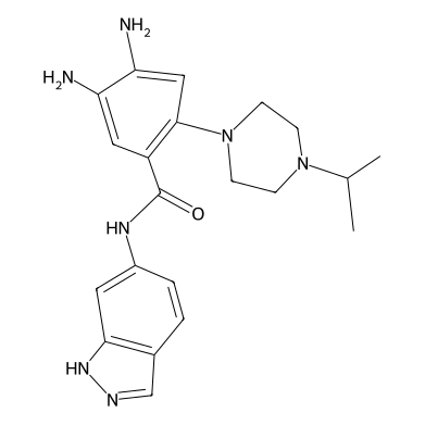 CC(C)N1CCN(c2cc(N)c(N)cc2C(=O)Nc2ccc3cn[nH]c3c2)CC1